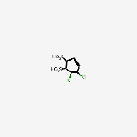 O=S(=O)(O)c1ccc(Cl)c(Cl)c1S(=O)(=O)O